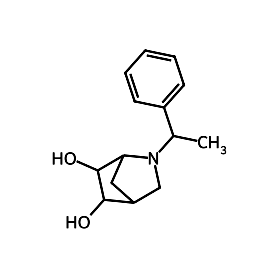 CC(c1ccccc1)N1CC2CC1C(O)C2O